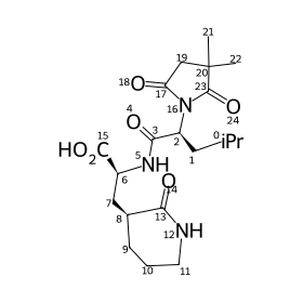 CC(C)C[C@@H](C(=O)N[C@@H](C[C@@H]1CCCNC1=O)C(=O)O)N1C(=O)CC(C)(C)C1=O